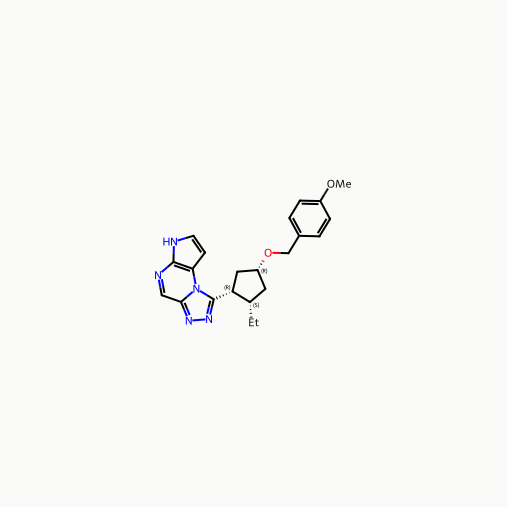 CC[C@H]1C[C@@H](OCc2ccc(OC)cc2)C[C@H]1c1nnc2cnc3[nH]ccc3n12